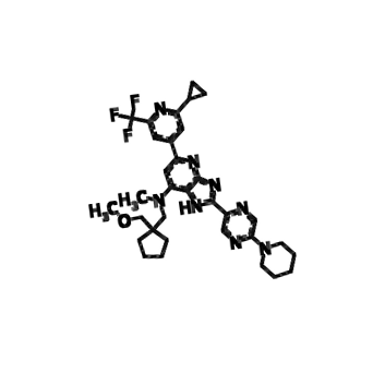 COCC1(CN(C)c2cc(-c3cc(C4CC4)nc(C(F)(F)F)c3)nc3nc(-c4cnc(N5CCCCC5)cn4)[nH]c23)CCCC1